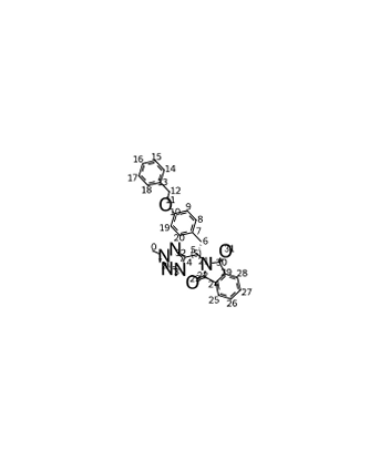 Cn1nnc([C@H](Cc2ccc(OCc3ccccc3)cc2)N2C(=O)c3ccccc3C2=O)n1